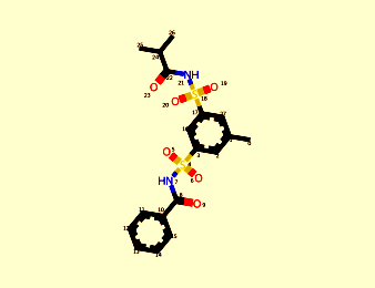 Cc1cc(S(=O)(=O)NC(=O)c2ccccc2)cc(S(=O)(=O)NC(=O)C(C)C)c1